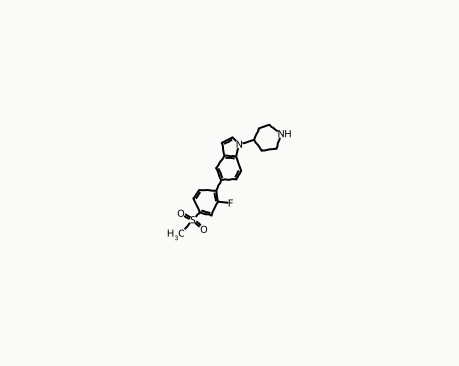 CS(=O)(=O)c1ccc(-c2ccc3c(ccn3C3CCNCC3)c2)c(F)c1